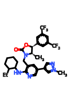 CCC1CCCCC1Nc1ncc(-c2cnn(C)c2)cc1CN1C(=O)O[C@H](c2cc(C(F)(F)F)cc(C(F)(F)F)c2)[C@@H]1C